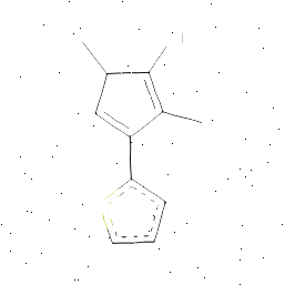 CC1=C([SiH3])C(C)C=C1c1cccs1